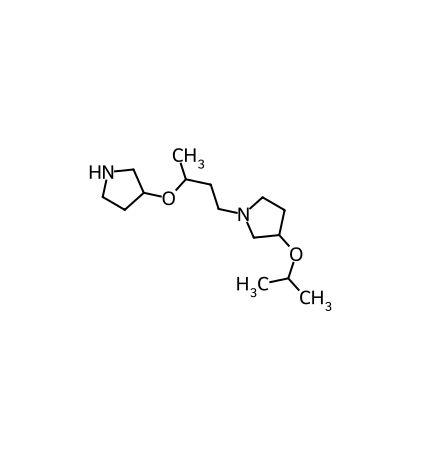 CC(C)OC1CCN(CCC(C)OC2CCNC2)C1